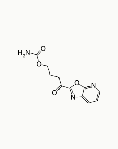 NC(=O)OCCCC(=O)c1nc2cccnc2o1